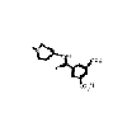 CN1CCC(NC(=O)c2cc(C(=O)O)cc(C(=O)O)c2)CC1